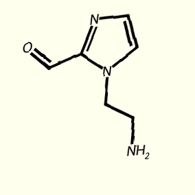 NCCn1ccnc1C=O